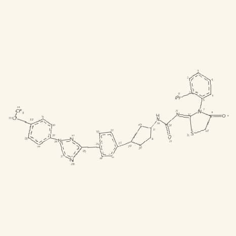 CC(C)c1ccccc1N1C(=O)CS/C1=N\C(=O)NC1CCC(c2ccc(-c3ncn(-c4ccc(OC(F)(F)F)cc4)n3)cc2)C1